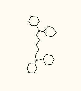 C1CCC(N(CCSCCN(C2CCCCC2)C2CCCCC2)C2CCCCC2)CC1